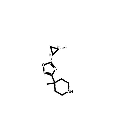 C[C@H]1C[C@H]1c1nc(C2(C)CCNCC2)no1